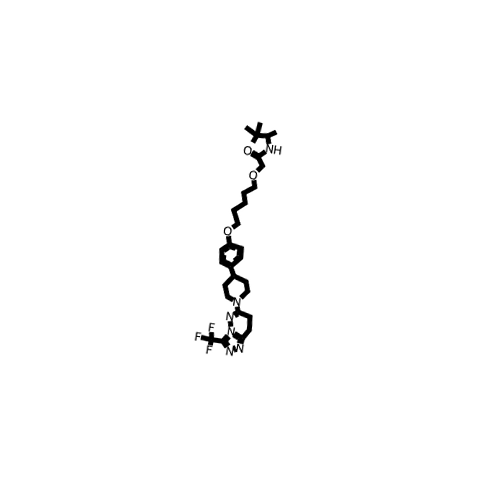 CC(NC(=O)COCCCCCOc1ccc(C2CCN(C3=Nn4c(nnc4C(F)(F)F)CC3)CC2)cc1)C(C)(C)C